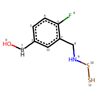 OBc1ccc(F)c(CNSS)c1